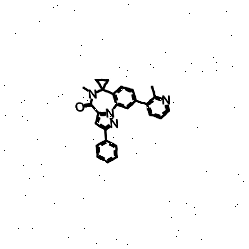 Cc1ncccc1-c1ccc2c(c1)-n1nc(-c3ccccc3)cc1C(=O)N(C)C21CC1